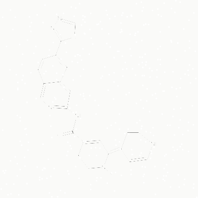 CN1CCC(C(=O)Nc2cc3cc(-c4nncs4)ccc3cn2)=CC1=C1C=CNCC1